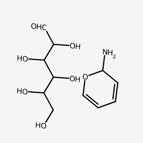 NC1C=CC=CO1.O=CC(O)C(O)C(O)C(O)CO